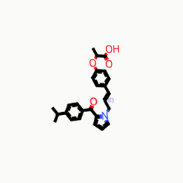 CC(Oc1ccc(/C=C/Cn2cccc2C(=O)c2ccc(C(C)C)cc2)cc1)C(=O)O